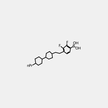 CCCC1CCC(C2CCC(CCc3ccc(B(O)O)c(F)c3F)CC2)CC1